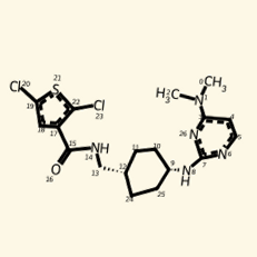 CN(C)c1ccnc(N[C@H]2CC[C@@H](CNC(=O)c3cc(Cl)sc3Cl)CC2)n1